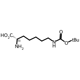 CC(C)(C)OC(=O)NCCCCC[C@H](N)C(=O)O